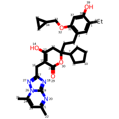 CCc1cc(CCC2(C3CCCC3)CC(O)=C(Cc3nc4nc(C)cc(C)n4n3)C(=O)O2)c(OCC2CC2)cc1O